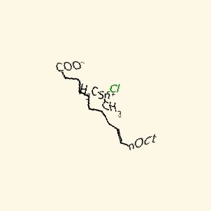 CCCCCCCCC=CCCCCCCCC(=O)[O-].[CH3][Sn+]([CH3])[Cl]